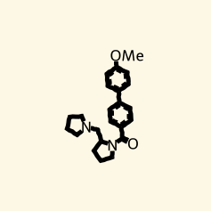 COc1ccc(-c2ccc(C(=O)N3CCCC3CN3CCCC3)cc2)cc1